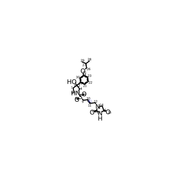 CC[C@@](O)(CNS(=O)(=O)C/C=C/CN1CC(=O)NC1=O)c1cccc(OCC(C)C)c1